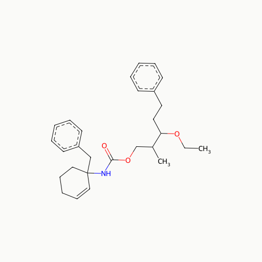 CCOC(CCc1ccccc1)C(C)COC(=O)NC1(Cc2ccccc2)C=CCCC1